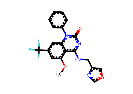 COc1cc(C(F)(F)F)cc2c1c(NCc1cocn1)nc(=O)n2-c1ccccc1